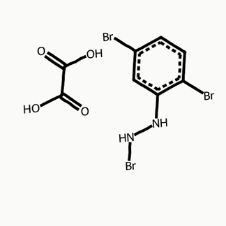 BrNNc1cc(Br)ccc1Br.O=C(O)C(=O)O